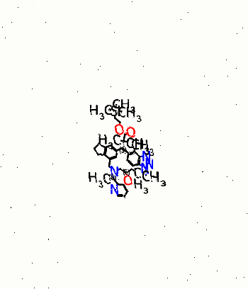 CC[C@@H]1CN(Cc2cc([C@@H](c3ccc4c(nnn4C)c3C)C(C)(C)C(=O)OCC[Si](C)(C)C)cc3c2CCC3)[C@@H](C)c2ncccc2O1